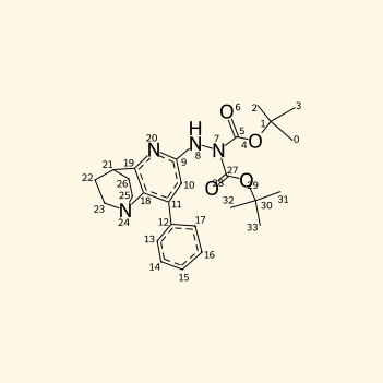 CC(C)(C)OC(=O)N(Nc1cc(-c2ccccc2)c2c(n1)C1CCN2CC1)C(=O)OC(C)(C)C